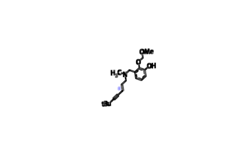 COCOc1c(O)cccc1CN(C)C/C=C/C#CC(C)(C)C